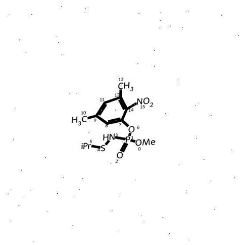 COP(=O)(NSC(C)C)Oc1cc(C)cc(C)c1[N+](=O)[O-]